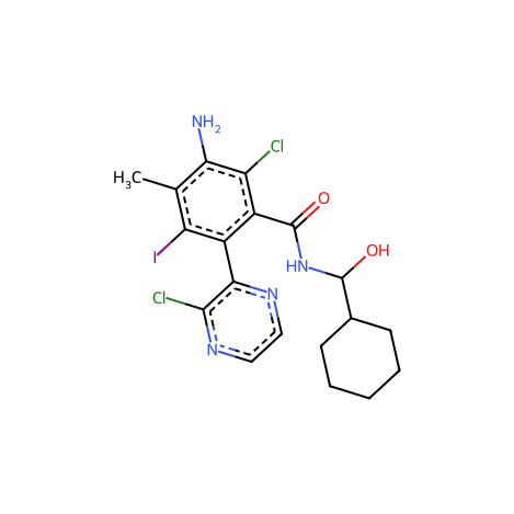 Cc1c(N)c(Cl)c(C(=O)NC(O)C2CCCCC2)c(-c2nccnc2Cl)c1I